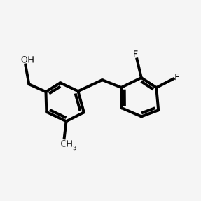 Cc1cc(CO)cc(Cc2cccc(F)c2F)c1